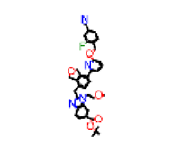 COCCn1c(Cc2ccc(-c3cccc(OCc4ccc(C#N)cc4F)n3)c3c2COC3)nc2ccc(C(=O)OC(C)(C)C)cc21